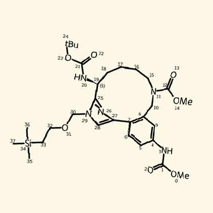 COC(=O)Nc1ccc2c(c1)CN(C(=O)OC)CCCC[C@H](NC(=O)OC(C)(C)C)c1nc-2cn1COCC[Si](C)(C)C